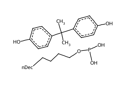 CC(C)(c1ccc(O)cc1)c1ccc(O)cc1.CCCCCCCCCCCCCCOP(O)O